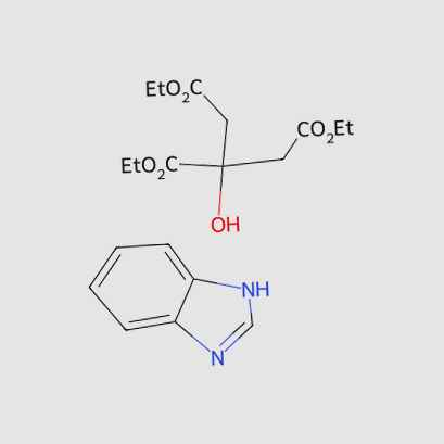 CCOC(=O)CC(O)(CC(=O)OCC)C(=O)OCC.c1ccc2[nH]cnc2c1